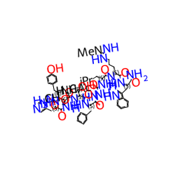 CNC(=N)NCCC[C@H](NC(=O)[C@H](CC(C)C)NC(=O)NNC(=O)[C@H](Cc1ccccc1)NC(=O)[C@@H](NC(=O)[C@H](CC(N)=O)NC(=O)[C@H](Cc1cncn1C)NC(=O)[C@@H](Cc1ccc(O)cc1)NC(C)=O)[C@@H](C)O)C(=O)N[C@@H](Cc1c[nH]c2ccccc12)C(N)=O